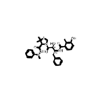 Cc1c(O)cccc1C(=O)N[C@@H](Cc1ccccc1)[C@H](O)C(=O)N1CSC(C)(C)C1C(=O)NN(C)c1ccccc1